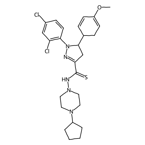 COC1=CCC(C2CC(C(=S)NN3CCN(C4CCCC4)CC3)=NN2c2ccc(Cl)cc2Cl)C=C1